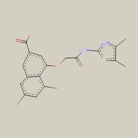 Cc1nc(NC(=O)COc2cc(C(=O)O)cc3cc(Cl)cc(Cl)c23)sc1C